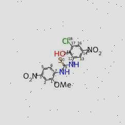 COc1cc([N+](=O)[O-])ccc1NC(=S)Nc1cc([N+](=O)[O-])cc(Cl)c1O